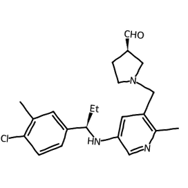 CC[C@@H](Nc1cnc(C)c(CN2CC[C@@H](C=O)C2)c1)c1ccc(Cl)c(C)c1